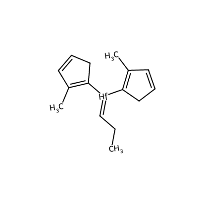 CC[CH]=[Hf]([C]1=C(C)C=CC1)[C]1=C(C)C=CC1